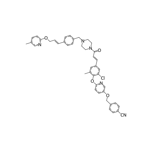 Cc1ccc(OCC=Cc2ccc(CN3CCN(C(=O)C=Cc4cc(C)c(Oc5ccc(OCc6ccc(C#N)cc6)cn5)c(Cl)c4)CC3)cc2)nc1